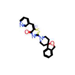 O=C1N=C(N2CCC3(CC2)OCc2ccccc23)S/C1=C/c1cccnc1